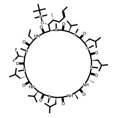 C/C=C/C[C@@H](C)[C@@H](O[Si](C)(C)C(C)(C)C)[C@@H]1C(=O)N[C@H](CC)C(=O)N(C)[C@H](C(F)F)C(=O)N(C)[C@@H](CC(C)C)C(=O)N[C@H](C(C)C)C(=O)N(C)[C@H](CC(C)C)C(=O)N[C@H](C)C(=O)N[C@@H](C)C(=O)N(C)[C@H](CC(C)C)C(=O)N(C)[C@H](CC(C)C)C(=O)N(C)[C@H](C(C)C)C(=O)N1C